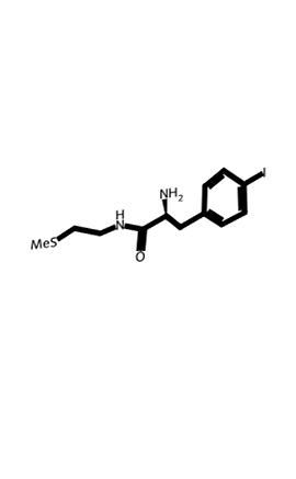 CSCCNC(=O)[C@@H](N)Cc1ccc(I)cc1